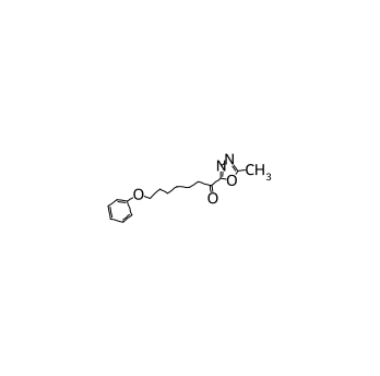 Cc1nnc(C(=O)CCCCCCOc2ccccc2)o1